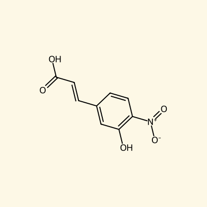 O=C(O)C=Cc1ccc([N+](=O)[O-])c(O)c1